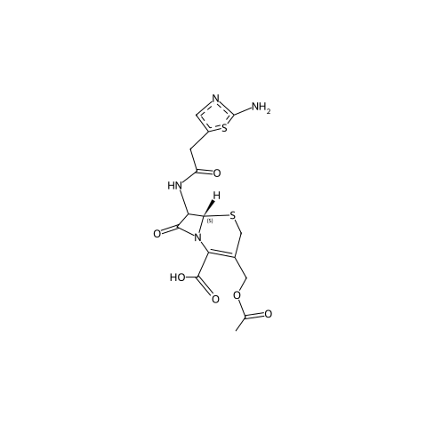 CC(=O)OCC1=C(C(=O)O)N2C(=O)C(NC(=O)Cc3cnc(N)s3)[C@@H]2SC1